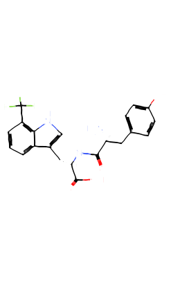 N[C@H](Cc1ccc(O)cc1)C(=O)N[C@@H](Cc1c[nH]c2c(C(F)(F)F)cccc12)C(=O)O